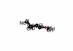 Cc1c(COc2cc(OCc3cncc(C#N)c3)c(CO)cc2Cl)cccc1-c1cccc(OCCCNC(CO)CO)c1Cl